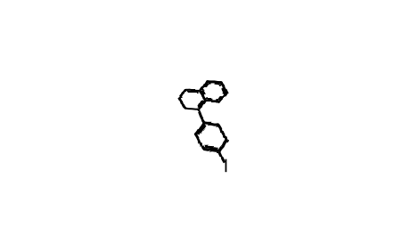 IC1=CC=C(C2=c3ccccc3=CCC2)CC1